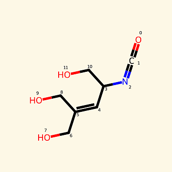 O=C=NC(C=C(CO)CO)CO